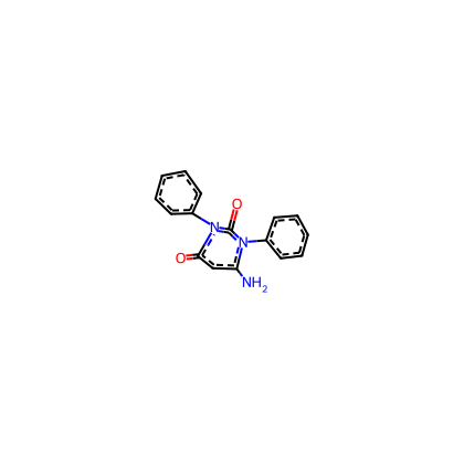 Nc1cc(=O)n(-c2ccccc2)c(=O)n1-c1ccccc1